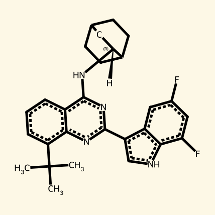 CC(C)(C)c1cccc2c(N[C@@H]3CC4CCC3CC4)nc(-c3c[nH]c4c(F)cc(F)cc34)nc12